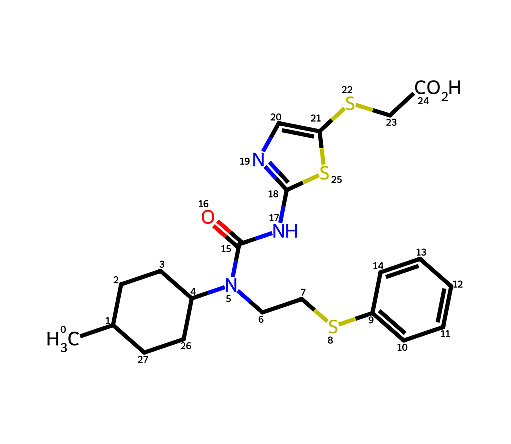 CC1CCC(N(CCSc2ccccc2)C(=O)Nc2ncc(SCC(=O)O)s2)CC1